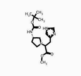 COC(=O)C(Cc1c[nH]cn1)N1CC[C@H](NC(=O)OC(C)(C)C)C1